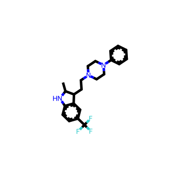 CC1Nc2ccc(C(F)(F)F)cc2C1CCN1CCN(c2ccccc2)CC1